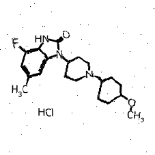 COC1CCC(N2CCC(n3c(=O)[nH]c4c(F)cc(C)cc43)CC2)CC1.Cl